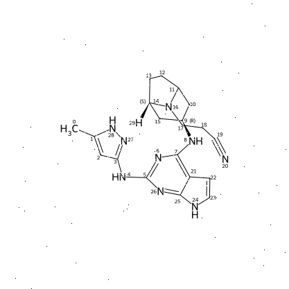 Cc1cc(Nc2nc(N[C@@H]3CC4CC[C@@H](C3)N4CCC#N)c3cc[nH]c3n2)n[nH]1